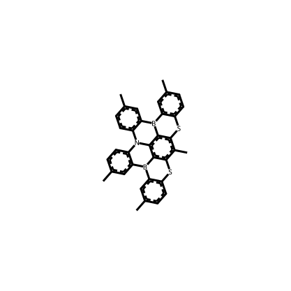 Cc1ccc2c(c1)B1c3cc(C)ccc3N3c4ccc(C)cc4B4c5cc(C)ccc5Sc5c(C)c(c1c3c54)S2